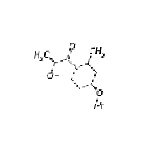 CC(C)O[C@H]1CCN(C(=O)[C@H](C)O)[C@@H](C)C1